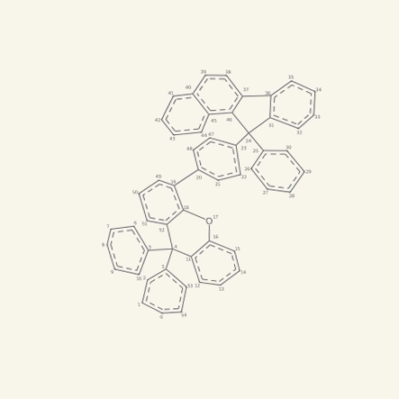 c1ccc(C2(c3ccccc3)c3ccccc3Oc3c(-c4ccc(C5(c6ccccc6)c6ccccc6-c6ccc7ccccc7c65)cc4)cccc32)cc1